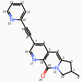 CC1Cc2cc3cc(C#Cc4ccccn4)cnc3c(=O)n2C1